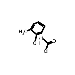 Cc1ccccc1O.O=C(O)Cl